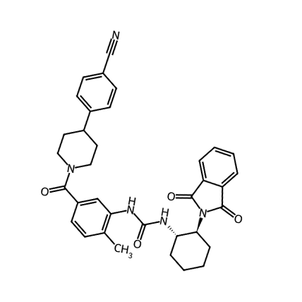 Cc1ccc(C(=O)N2CCC(c3ccc(C#N)cc3)CC2)cc1NC(=O)N[C@H]1CCCC[C@@H]1N1C(=O)c2ccccc2C1=O